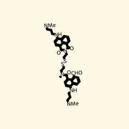 CNCCCNc1ccc(C(=O)N(C)CCSSCCN2C(=O)c3cccc4c(NCCCNC)ccc(c34)C2=O)c2c(C=O)cccc12